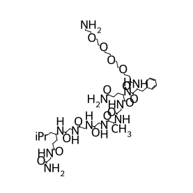 CC(C)CC(CCC(=O)NCC(N)=O)NC(=O)CNC(=O)CNC(=O)CNC(=O)C(C)NC(=O)CNC(=O)C(CCC(N)=O)NC(=O)C(Cc1ccccc1)NC(=O)CCOCCOCCOCCOCCN